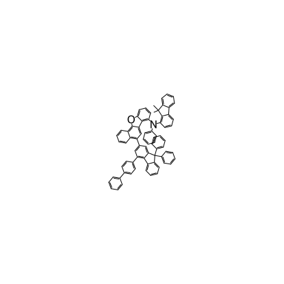 CC1(C)c2ccccc2-c2cccc(N(c3ccccc3)c3cccc4oc5c6ccccc6c(-c6cc(-c7ccc(-c8ccccc8)cc7)c7c(c6)C(c6ccccc6)(c6ccccc6)c6ccccc6-7)cc5c34)c21